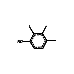 Cc1ccc(C#N)c(I)c1C